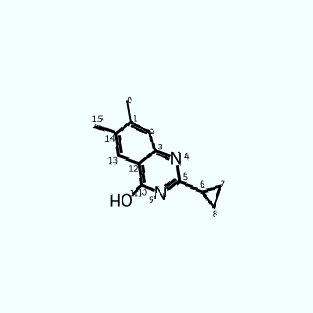 Cc1cc2nc(C3CC3)nc(O)c2cc1C